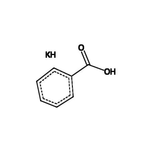 O=C(O)c1ccccc1.[KH]